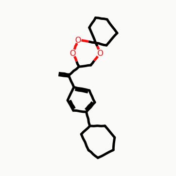 C=C(c1ccc(C2CCCCCC2)cc1)C1COC2(CCCCC2)OO1